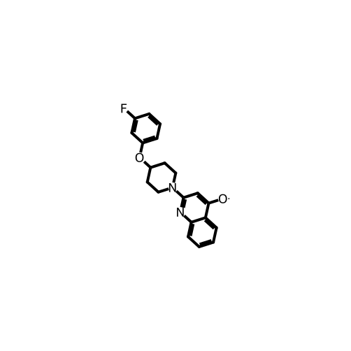 [O]c1cc(N2CCC(Oc3cccc(F)c3)CC2)nc2ccccc12